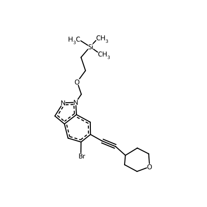 C[Si](C)(C)CCOCn1ncc2cc(Br)c(C#CC3CCOCC3)cc21